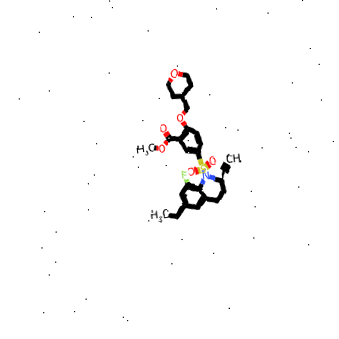 C#C[C@H]1CCc2cc(CC)cc(F)c2N1S(=O)(=O)c1ccc(OCC2CCOCC2)c(C(=O)OC)c1